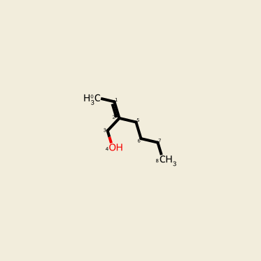 CC=C(CO)CCCC